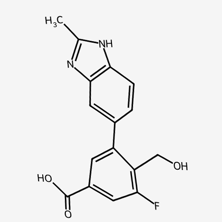 Cc1nc2cc(-c3cc(C(=O)O)cc(F)c3CO)ccc2[nH]1